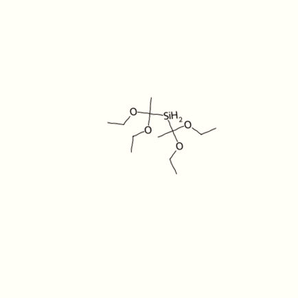 CCOC(C)(OCC)[SiH2]C(C)(OCC)OCC